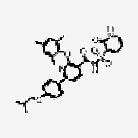 Cc1cc(C)c(Oc2nc(-c3ccc(OCC(C)C)cc3)ccc2C(=O)NS(=O)(=O)c2ccc[nH]c2=O)c(C)c1